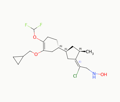 C[C@@H]1C[C@H]([C@H]2CCC(OC(F)F)=C(OCC3CC3)C2)C/C1=C(\Cl)CNO